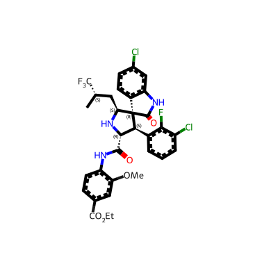 CCOC(=O)c1ccc(NC(=O)[C@@H]2N[C@@H](C[C@H](C)C(F)(F)F)[C@@]3(C(=O)Nc4cc(Cl)ccc43)[C@H]2c2cccc(Cl)c2F)c(OC)c1